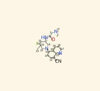 CN(C)CC(=O)NC1CN(c2ccc(C#N)c3ncccc23)CC(C)(F)C1